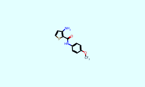 Nc1ccsc1C(=O)Nc1ccc(OC(F)(F)F)cc1